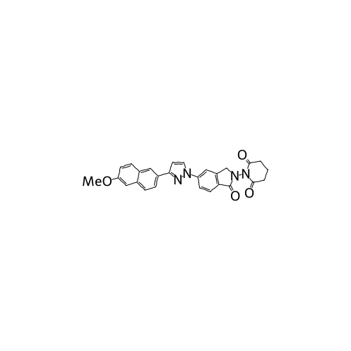 COc1ccc2cc(-c3ccn(-c4ccc5c(c4)CN(N4C(=O)CCCC4=O)C5=O)n3)ccc2c1